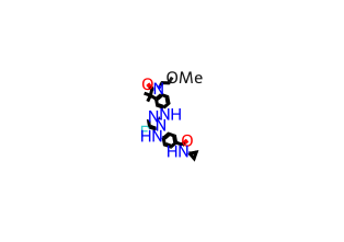 COCCN1C(=O)C(C)(C)c2cc(Nc3ncc(F)c(Nc4ccc(C(=O)NC5CC5)cc4)n3)ccc21